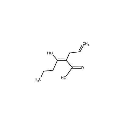 C=CCC(C(=O)O)=C(O)CCC